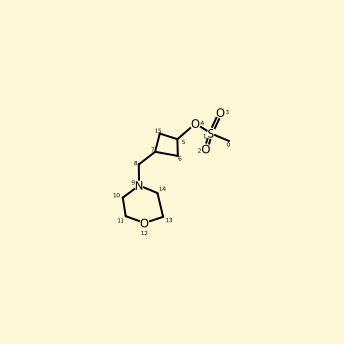 CS(=O)(=O)OC1CC(CN2CCOCC2)C1